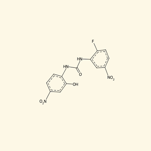 O=C(Nc1ccc([N+](=O)[O-])cc1O)Nc1cc([N+](=O)[O-])ccc1F